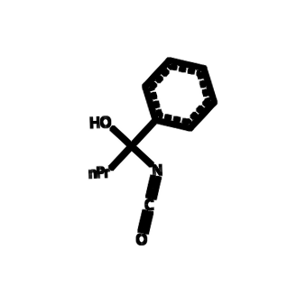 CCCC(O)(N=C=O)c1ccccc1